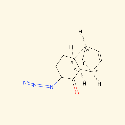 [N-]=[N+]=NC1CC[C@@H]2[C@H](C1=O)[C@@H]1C=C[C@H]2CC1